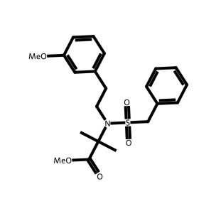 COC(=O)C(C)(C)N(CCc1cccc(OC)c1)S(=O)(=O)Cc1ccccc1